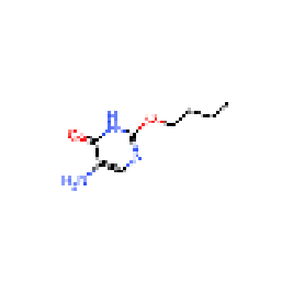 CCCCOc1ncc(N)c(=O)[nH]1